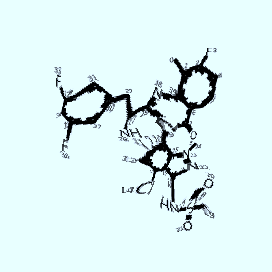 Cc1c(F)ccc2c(=O)n(-c3ccc(Cl)c4c(NS(C)(=O)=O)nn(C)c34)c([C@@H](N)Cc3cc(F)cc(F)c3)nc12